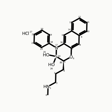 CNCCC[C@@H]1Oc2cc3ccccc3cc2N(c2ccccc2)S1(O)O.Cl